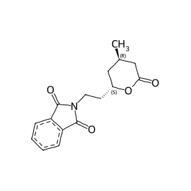 C[C@H]1CC(=O)O[C@H](CCN2C(=O)c3ccccc3C2=O)C1